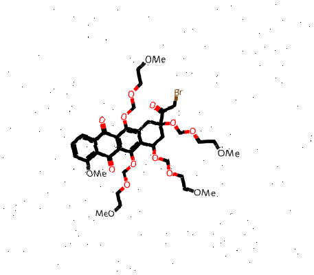 COCCOCOc1c2c(c(OCOCCOC)c3c1C(=O)c1cccc(OC)c1C3=O)C(OCOCCOC)CC(OCOCCOC)(C(=O)CBr)C2